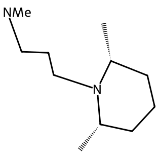 CNCCCN1[C@H](C)CCC[C@@H]1C